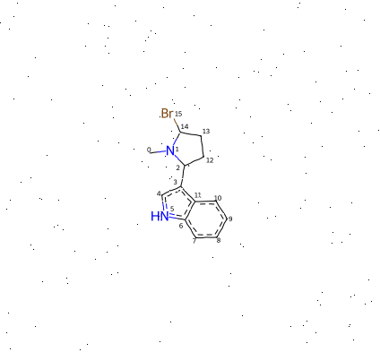 CN1[C](c2c[nH]c3ccccc23)CCC1Br